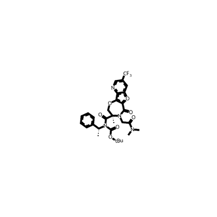 C[C@H](c1ccccc1)N(C(=O)OC(C)(C)C)C(=O)[C@@]1(C)COc2c(oc3cc(C(F)(F)F)cnc23)C(=O)N1CC(=O)N(C)C